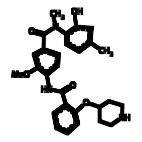 COc1cc(C(=O)N(C)c2ccc(C)cc2O)ccc1NC(=O)c1ccccc1OC1CCNCC1